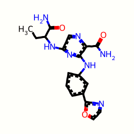 CCC(Nc1cnc(C(N)=O)c(Nc2cccc(-c3ncco3)c2)n1)C(N)=O